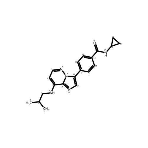 CC(C)CNc1ccnn2c(-c3ccc(C(=O)NC4CC4)cc3)cnc12